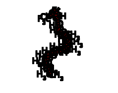 CCOc1ccc(NC(=O)CCCCC(=O)NCCC(=O)Nc2cc(C(=O)Nc3cn(C)c(C(=O)Nc4cn(C)c(C(=O)Nc5cn(C)c(C(=O)NCCCC(=O)Nc6cc(C(=O)Nc7cc(C(=O)Nc8cc(C(=O)Nc9cc(C(=O)NCCCN(C)C)n(C)c9)n(C)c8)n(C)c7)n(C)c6)n5)n4)n3)n(C)c2)cc1C(=O)Nc1ccc(Cl)c(C(F)(F)F)c1